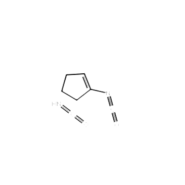 N=C=O.O=C=NC1=CCCC1